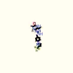 Cc1nc(NCc2ccc(-n3ccc(C(F)(F)F)n3)cc2)nc2c1NC(=O)[C@H](C)N2C